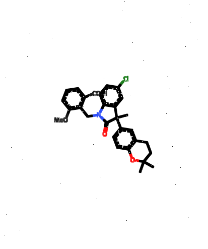 COc1cccc(C(=O)O)c1CN1C(=O)C(C)(c2ccc3c(c2)CCC(C)(C)O3)c2cc(Cl)ccc21